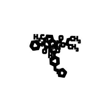 CCC(C)OC(=O)N1NC(NC(=O)c2ccc(CN3CCCC3)cc2)(C(=O)N(CC)c2ccccc2)c2occc21